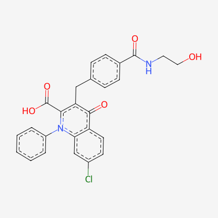 O=C(NCCO)c1ccc(Cc2c(C(=O)O)n(-c3ccccc3)c3cc(Cl)ccc3c2=O)cc1